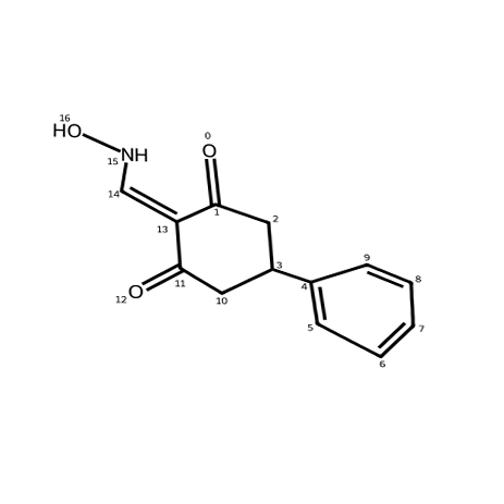 O=C1CC(c2ccccc2)CC(=O)C1=CNO